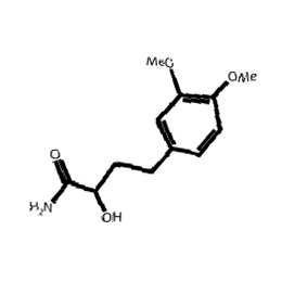 COc1ccc(CCC(O)C(N)=O)cc1OC